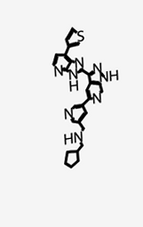 c1cc(-c2ccsc2)c2nc(-c3n[nH]c4cnc(-c5cncc(CNCC6CCCC6)c5)cc34)[nH]c2n1